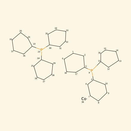 C1CCC(P(C2CCCCC2)C2CCCCC2)CC1.C1CCC(P(C2CCCCC2)C2CCCCC2)CC1.[Co]